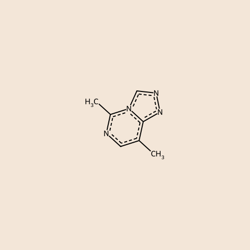 Cc1cnc(C)n2cnnc12